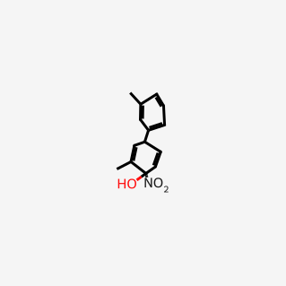 CC1=CC(c2cccc(C)c2)C=CC1(O)[N+](=O)[O-]